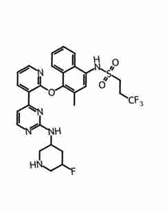 Cc1cc(NS(=O)(=O)CCC(F)(F)F)c2ccccc2c1Oc1ncccc1-c1ccnc(NC2CNCC(F)C2)n1